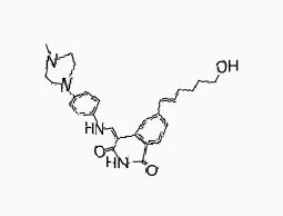 CN1CCN(c2ccc(N/C=C3\C(=O)NC(=O)c4ccc(/C=C/CCCCO)cc43)cc2)CC1